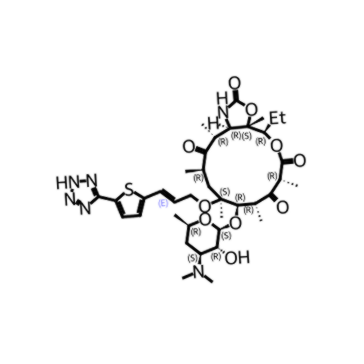 CC[C@H]1OC(=O)[C@H](C)C(=O)[C@H](C)[C@@H](O[C@@H]2O[C@H](C)C[C@H](N(C)C)[C@H]2O)[C@@](C)(OC/C=C/c2ccc(-c3nn[nH]n3)s2)C[C@@H](C)C(=O)[C@H](C)[C@H]2NC(=O)O[C@@]21C